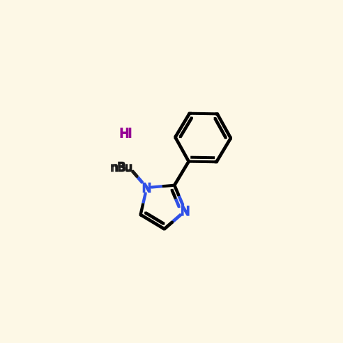 CCCCn1ccnc1-c1ccccc1.I